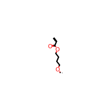 [CH2]OCCCCOC(=O)C=C